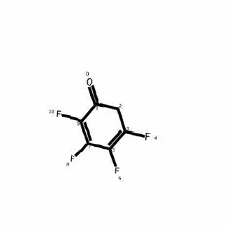 O=C1CC(F)=C(F)C(F)=C1F